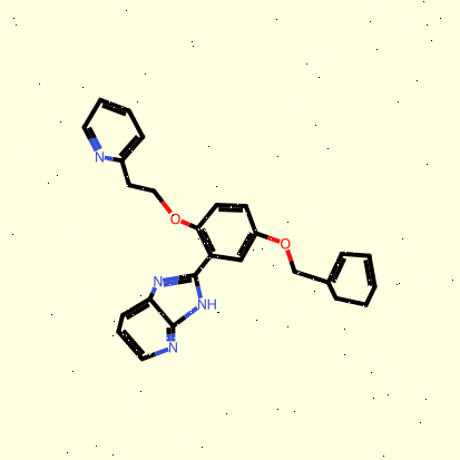 C1=CCCC(COc2ccc(OCCc3ccccn3)c(-c3nc4cccnc4[nH]3)c2)=C1